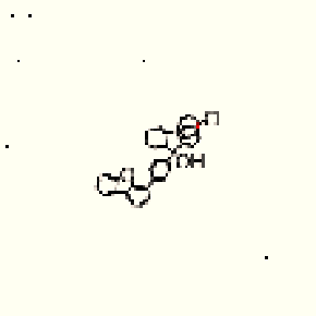 OC(c1ccccc1)(c1ccc(-c2cccc3c2oc2ccccc23)cc1)c1ccccc1-c1ccc(Cl)cc1